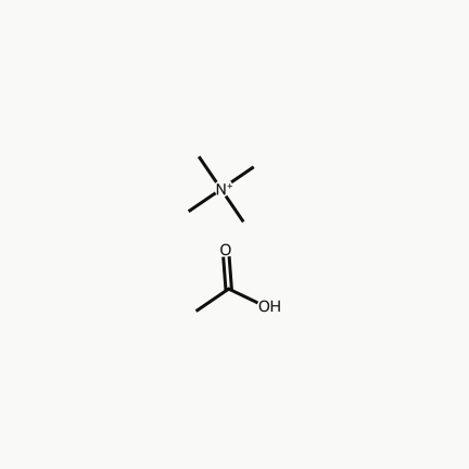 CC(=O)O.C[N+](C)(C)C